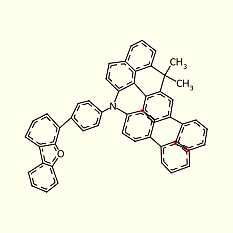 CC1(C)c2cc(-c3ccccc3)ccc2-c2c(N(c3ccc(-c4ccccc4)cc3)c3ccc(-c4cccc5c4oc4ccccc45)cc3)ccc3cccc1c23